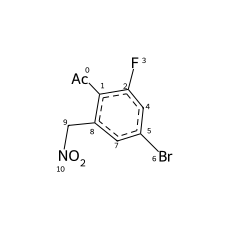 CC(=O)c1c(F)cc(Br)cc1C[N+](=O)[O-]